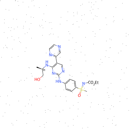 CCOC(=O)N=S(C)(=O)c1ccc(Nc2ncc(-c3cnccn3)c(N[C@H](C)CO)n2)cc1